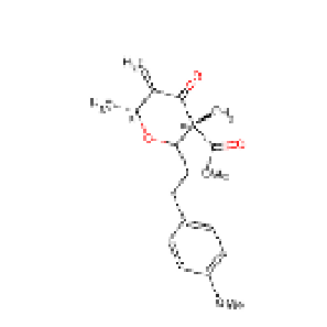 C=C1C(=O)[C@](C)(C(=O)OC)C(CCc2ccc(OC)cc2)O[C@@H]1C